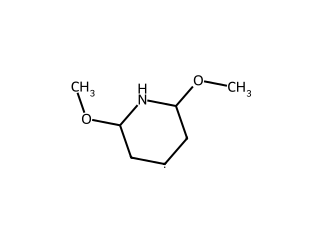 COC1C[CH]CC(OC)N1